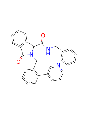 O=C(NCc1ccccc1)C1c2ccccc2C(=O)N1Cc1ccccc1-c1cccnc1